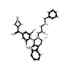 C[C@@H]1Cc2c([nH]c3ccccc23)[C@@H](c2c(F)cc(C(=O)C3CNC3)cc2F)N1C[C@@H](F)COCc1ccccc1